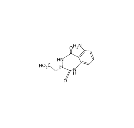 Nc1cccc2c1C(=O)N[C@@H](CC(=O)O)C(=O)N2